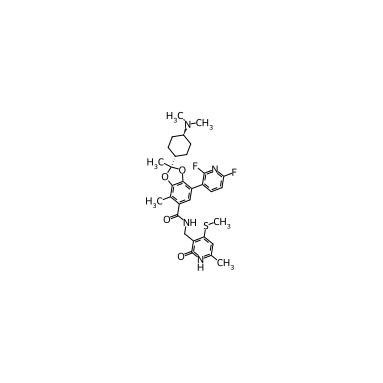 CSc1cc(C)[nH]c(=O)c1CNC(=O)c1cc(-c2ccc(F)nc2F)c2c(c1C)OC(C)([C@H]1CC[C@H](N(C)C)CC1)O2